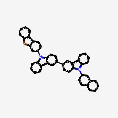 c1ccc2cc(-n3c4ccccc4c4cc(-c5ccc6c(c5)c5ccccc5n6-c5ccc6c(c5)sc5ccccc56)ccc43)ccc2c1